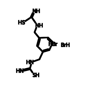 Br.Br.N=C(S)NCc1cccc(CNC(=N)S)c1